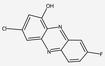 Oc1cc(Cl)cc2nc3ccc(F)cc3nc12